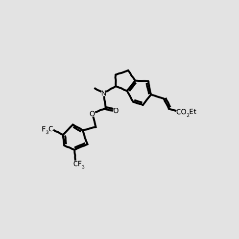 CCOC(=O)/C=C/c1ccc2c(c1)CCC2N(C)C(=O)OCc1cc(C(F)(F)F)cc(C(F)(F)F)c1